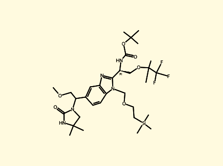 COCC(c1ccc2c(c1)nc([C@H](COC(C)(C)C(F)(F)F)NC(=O)OC(C)(C)C)n2COCC[Si](C)(C)C)N1CC(C)(C)NC1=O